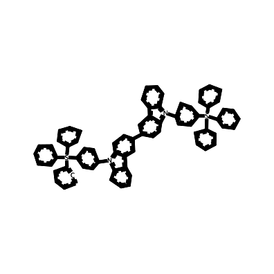 c1ccc(S(c2ccccc2)(c2ccccc2)c2ccc(-n3c4ccccc4c4cc(-c5ccc6c(c5)c5ccccc5n6-c5ccc(S(c6ccccc6)(c6ccccc6)c6ccccc6)cc5)ccc43)cc2)cc1